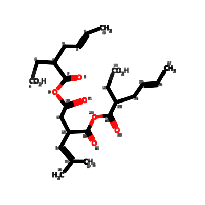 CC=CCC(CC(=O)O)C(=O)OC(=O)CC(C=C(C)C)C(=O)OC(=O)C(CC=CC)CC(=O)O